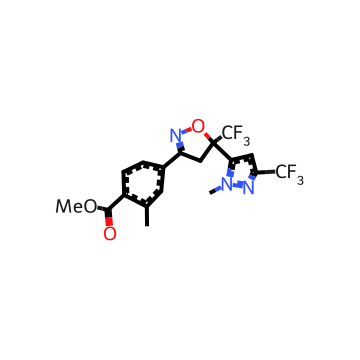 COC(=O)c1ccc(C2=NOC(c3cc(C(F)(F)F)nn3C)(C(F)(F)F)C2)cc1C